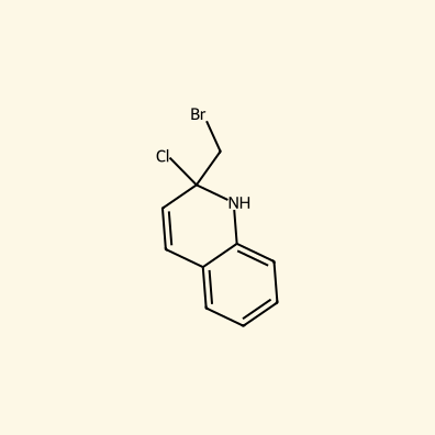 ClC1(CBr)C=Cc2ccccc2N1